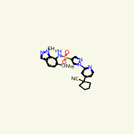 COc1ccc2cnn(C)c2c1NS(=O)(=O)c1cnn(-c2cc(C3(C#N)CCCC3)ccn2)c1